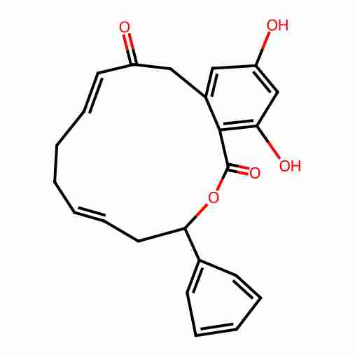 O=C1/C=C/CC/C=C/CC(c2ccccc2)OC(=O)c2c(O)cc(O)cc2C1